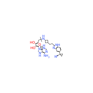 CC(C)(Cc1oc(N2CNC3=C(N)N=CN[C@@H]32)c(O)c1O)NC1CC(CCc2nc3cc(C4(C#N)CC4)ccc3[nH]2)C1